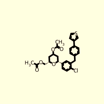 CC(=O)OC[C@@H]1CC(OC(C)=O)C[C@H](c2ccc(Cl)c(Cc3ccc(-c4ccsc4)cc3)c2)O1